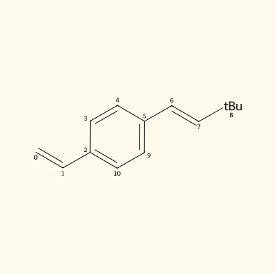 C=Cc1ccc(C=CC(C)(C)C)cc1